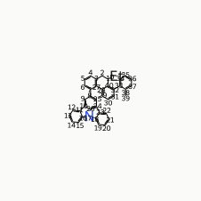 CCC1Cc2cccc(-c3cc4c5ccccc5n5c6ccccc6c(c3)c45)c2-c2cccc(-c3ccccc3C)c21